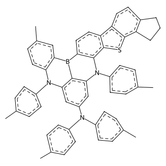 Cc1ccc(N(c2ccc(C)cc2)c2cc3c4c(c2)N(c2ccc(C)cc2)c2c(ccc5c2sc2c6c(ccc25)CCC6)B4c2cc(C)ccc2N3c2ccc(C)cc2)cc1